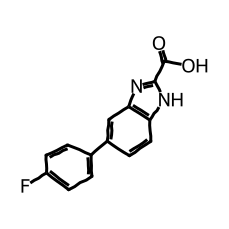 O=C(O)c1nc2cc(-c3ccc(F)cc3)ccc2[nH]1